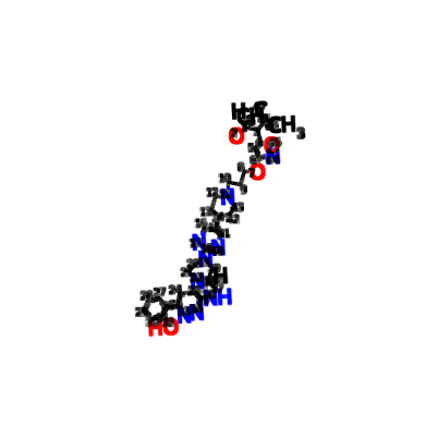 CC(=O)C(c1cc(OCCCN2CCC(c3cnc(N4CCN5c6cc(-c7ccccc7O)nnc6NC[C@@H]5C4)nc3)CC2)no1)C(C)C